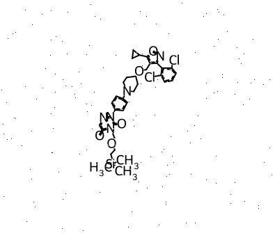 C[Si](C)(C)CCOCn1c(=O)cnn(-c2ccc(N3CCC(OCc4c(-c5c(Cl)cccc5Cl)noc4C4CC4)CC3)cc2)c1=O